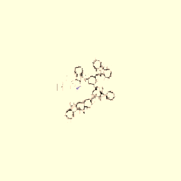 C=Cc1c(/C=C\C)n(-c2cc(-c3cc(-c4ccc5nc6c(cc5c4)sc4ccccc46)nc(-c4ccccc4)n3)cc(-n3c4ccccc4c4ccccc43)c2)c2ccccc12